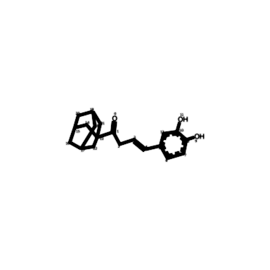 O=C(C/C=C/c1ccc(O)c(O)c1)C12CC3CC(CC(C3)C1)C2